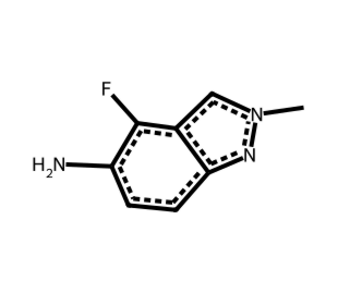 Cn1cc2c(F)c(N)ccc2n1